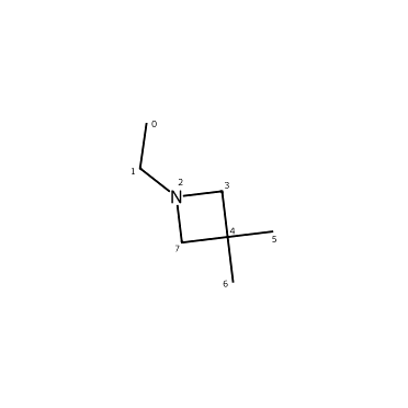 CCN1CC(C)(C)C1